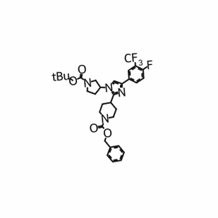 CC(C)(C)OC(=O)N1CCC(n2cc(-c3ccc(F)c(C(F)(F)F)c3)nc2C2CCN(C(=O)OCc3ccccc3)CC2)C1